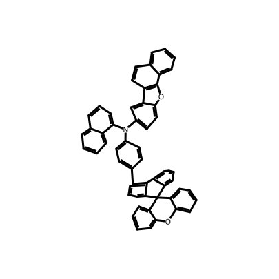 c1ccc2c(c1)Oc1ccccc1C21c2ccccc2-c2c(-c3ccc(N(c4ccc5oc6c7ccccc7ccc6c5c4)c4cccc5ccccc45)cc3)cccc21